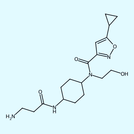 NCCC(=O)NC1CCC(N(CCO)C(=O)c2cc(C3CC3)on2)CC1